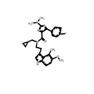 COc1ccc2[nH]cc(CCN(CC3CC3)C(=O)c3nc(N(C)C)sc3-c3ccc(F)cc3)c2c1C